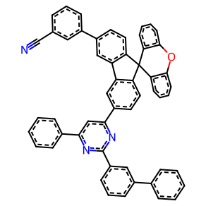 N#Cc1cccc(-c2ccc3c(c2)-c2cc(-c4cc(-c5ccccc5)nc(-c5cccc(-c6ccccc6)c5)n4)ccc2C32c3ccccc3Oc3ccccc32)c1